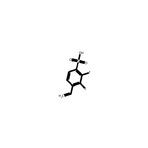 C=Cc1ccc(S(=O)(=O)O)c(F)c1F